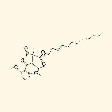 CCCCCCCCCCCCOC(=O)C(C)(P=O)C(C(=O)c1c(OC)cccc1OC)C(C)C